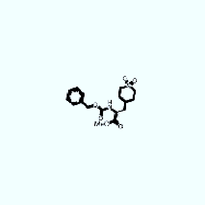 COC(=O)[C@H](CC1CCS(=O)(=O)CC1)NC(=O)OCc1ccccc1